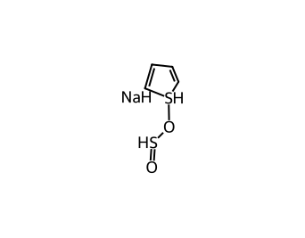 O=[SH]O[SH]1C=CC=C1.[NaH]